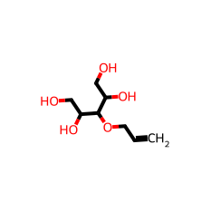 C=CCOC(C(O)CO)C(O)CO